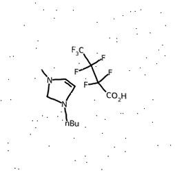 CCCCN1C=CN(C)C1.O=C(O)C(F)(F)C(F)(F)C(F)(F)F